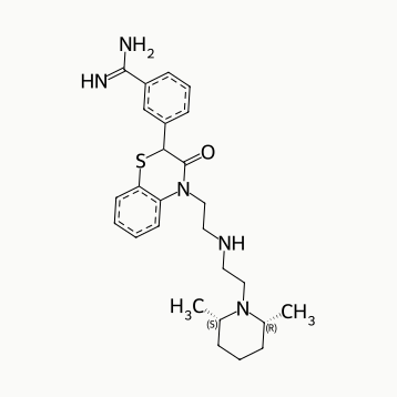 C[C@@H]1CCC[C@H](C)N1CCNCCN1C(=O)C(c2cccc(C(=N)N)c2)Sc2ccccc21